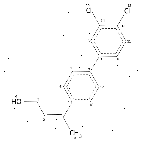 C/C(=C/CO)c1ccc(-c2ccc(Cl)c(Cl)c2)cc1